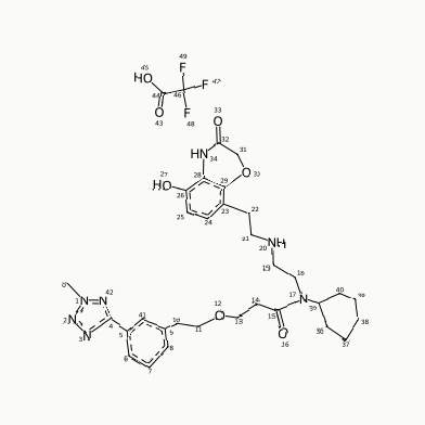 Cn1nnc(-c2cccc(CCOCCC(=O)N(CCNCCc3ccc(O)c4c3OCC(=O)N4)C3CCCCC3)c2)n1.O=C(O)C(F)(F)F